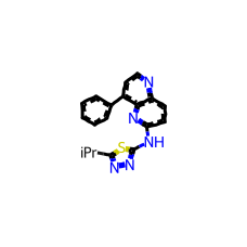 CC(C)c1nnc(Nc2ccc3nccc(-c4ccccc4)c3n2)s1